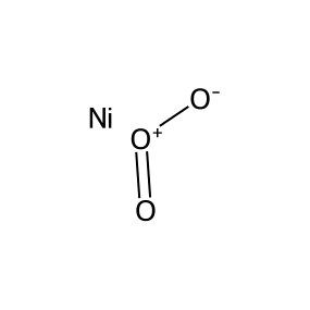 O=[O+][O-].[Ni]